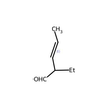 C/C=C/C([C]=O)CC